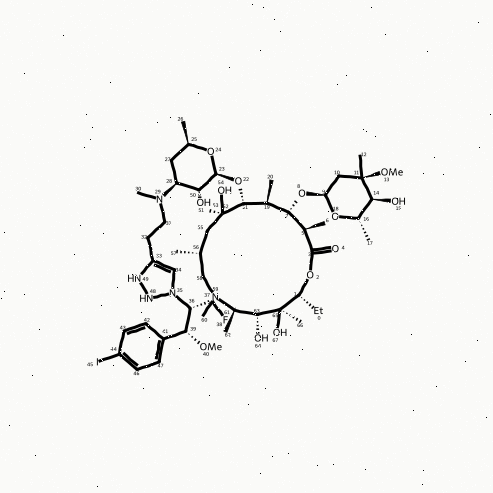 CC[C@H]1OC(=O)[C@H](C)[C@@H](O[C@H]2C[C@@](C)(OC)[C@@H](O)[C@H](C)O2)[C@H](C)[C@@H](O[C@@H]2O[C@H](C)C[C@H](N(C)CCC3=CN([C@H](CF)[C@H](OC)c4ccc(I)cc4)NN3)[C@H]2O)[C@](C)(O)C[C@@H](C)CN(C)[C@H](C)[C@@H](O)[C@]1(C)O